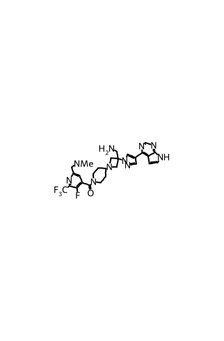 CNCc1cc(C(=O)N2CCC(N3CC(CN)(n4cc(-c5ncnc6[nH]ccc56)cn4)C3)CC2)c(F)c(C(F)(F)F)n1